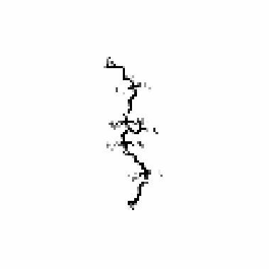 CC(C)CC(CC(C)(C)OCCCC(C)(C)OCCC1CO1)C(C)(C)OCCCC(C)(C)OCCC1CO1